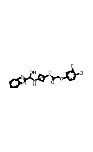 O=C(COc1ccc(Cl)c(F)c1)NC12CC(NC(O)c3nc4ccccc4o3)(C1)C2